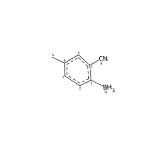 Bc1ccc(C)cc1C#N